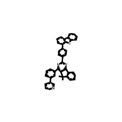 CC1(C)c2ccccc2-c2nc(-c3ccc(-c4cccc5c4sc4ccccc45)cc3)nc(-c3cccc(-c4cccnc4)c3)c21